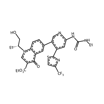 CCNC(=O)Nc1cc(-c2nc(C(F)(F)F)cs2)c(-c2ccc3c(c2)c(=O)c(C(=O)OCC)cn3[C@H](CC)CO)cn1